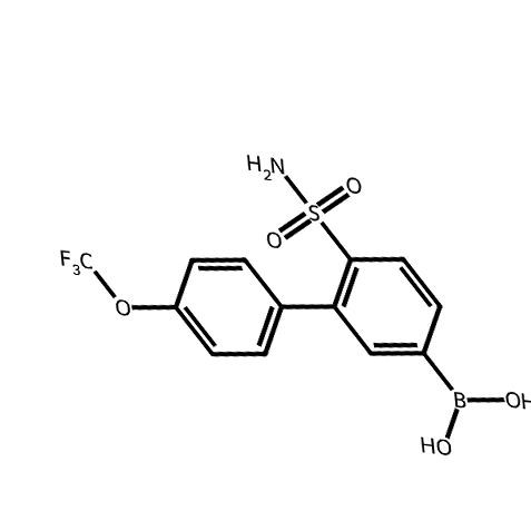 NS(=O)(=O)c1ccc(B(O)O)cc1-c1ccc(OC(F)(F)F)cc1